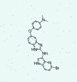 CN(C)c1ccc(Oc2ccc3[nH]c(Nc4c[nH]c5ccc(Br)nc45)nc3c2)cc1